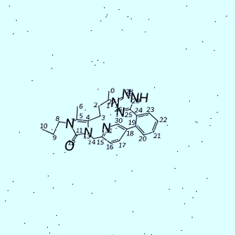 CCCCc1c(C)n(CCC)c(=O)n1Cc1ccc(-c2ccccc2-c2nnn[nH]2)cn1